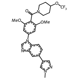 COc1cc(-n2cnc3cc(-c4cnn(C)c4)ccc32)cc(OC)c1C(=O)N1CCC(OC(F)(F)F)CC1